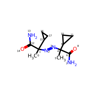 CC(N=NC(C)(C(N)=O)C1CC1)(C(N)=O)C1CC1